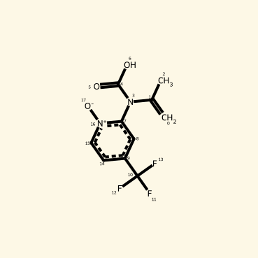 C=C(C)N(C(=O)O)c1cc(C(F)(F)F)cc[n+]1[O-]